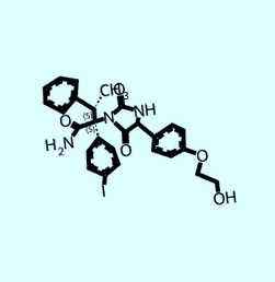 C[C@@H](c1ccccc1)[C@@](C(N)=O)(c1ccc(I)cc1)N1C(=O)NC(c2ccc(OCCO)cc2)C1=O